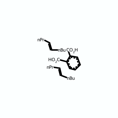 CCCC=CCCCC.CCCC=CCCCC.O=C(O)c1ccccc1C(=O)O